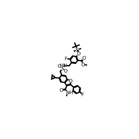 CNC(=O)c1c(-c2ccc(F)cc2)oc2cc(CS(=O)(=O)NCc3cc(C(=O)OC)c(O[Si](C)(C)C(C)(C)C)cc3F)c(C3CC3)cc12